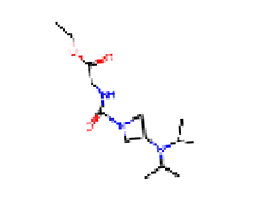 CCOC(=O)CNC(=O)N1CC(N(C(C)C)C(C)C)C1